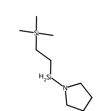 C[Si](C)(C)CC[SiH2]N1CCCC1